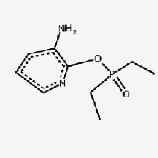 CCP(=O)(CC)Oc1ncccc1N